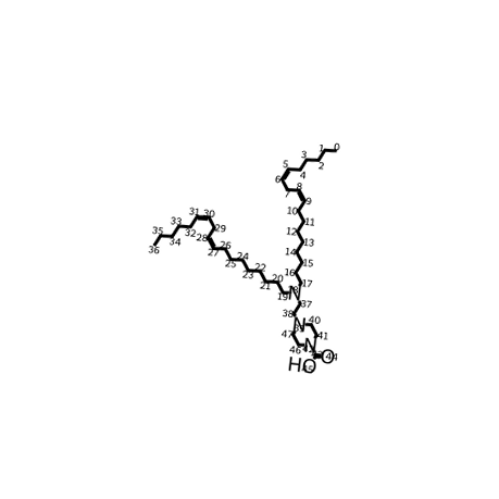 CCCCC/C=C\C/C=C\CCCCCCCCN(CCCCCCCC/C=C\C/C=C\CCCCC)CCN1CCN(C(=O)O)CC1